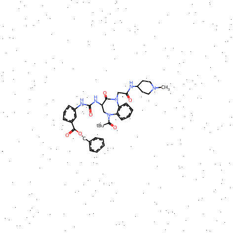 CN1CCC(NC(=O)CN2C(=O)C(NC(=O)Nc3cccc(C(=O)OCc4ccccc4)c3)CN(C(=O)C(C)(C)C)c3ccccc32)CC1